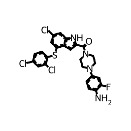 Nc1ccc(N2CCN(C(=O)c3cc4c(Sc5ccc(Cl)cc5Cl)cc(Cl)cc4[nH]3)CC2)cc1F